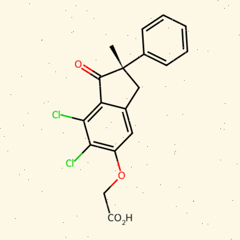 C[C@@]1(c2ccccc2)Cc2cc(OCC(=O)O)c(Cl)c(Cl)c2C1=O